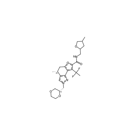 CC1COC(CNC(=O)c2oc3c(c2C(C)(F)F)-c2nn(C[C@H]4COCCO4)cc2[C@H](C)C3)C1